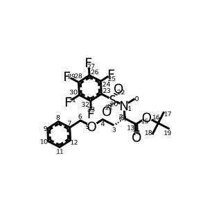 CN([C@@H](CCOCc1ccccc1)C(=O)OC(C)(C)C)S(=O)(=O)c1c(F)c(F)c(F)c(F)c1F